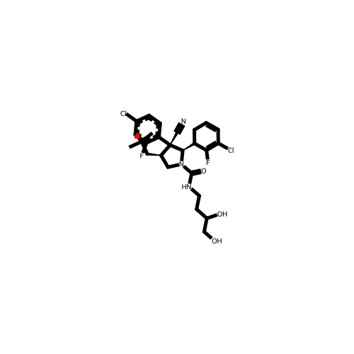 CC(C)(C)C[C@@H]1CN(C(=O)NCCC(O)CO)[C@H](C2CC=CC(Cl)=C2F)[C@@]1(C#N)c1ccc(Cl)cc1F